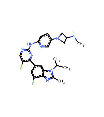 CNC1CN(c2ccc(Nc3ncc(F)c(-c4cc(F)c5nc(C)n(C(C)C)c5c4)n3)nc2)C1